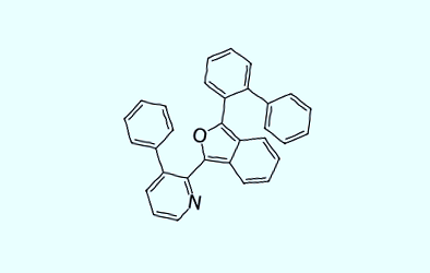 c1ccc(-c2ccccc2-c2oc(-c3ncccc3-c3ccccc3)c3ccccc23)cc1